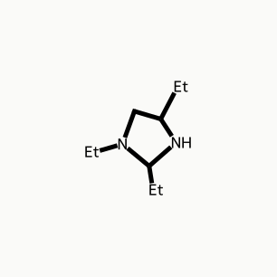 CCC1CN(CC)C(CC)N1